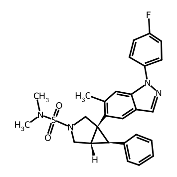 Cc1cc2c(cnn2-c2ccc(F)cc2)cc1[C@]12CN(S(=O)(=O)N(C)C)C[C@H]1[C@@H]2c1ccccc1